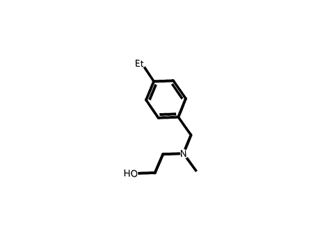 CCc1ccc(CN(C)CCO)cc1